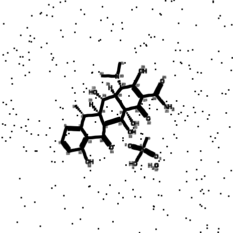 CS(=O)(=O)O.C[C@H]1c2cccc(O)c2C(=O)C2=C(O)[C@]3(O)C(=O)C(C(N)=O)=C(O)[C@@H](N(C)C)[C@@H]3[C@@H](O)[C@@H]21.O